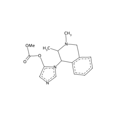 COC(=O)Oc1cncn1C1c2ccccc2CN(C)C1C